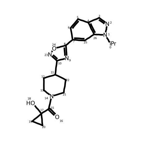 CC(C)n1ncc2ccc(-c3nc(C4CCN(C(=O)C5(O)CC5)CC4)no3)cc21